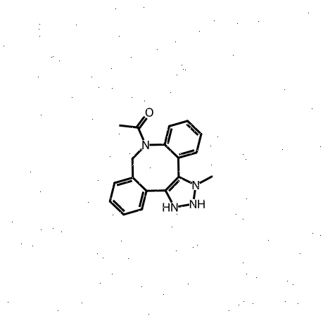 CC(=O)N1Cc2ccccc2C2=C(c3ccccc31)N(C)NN2